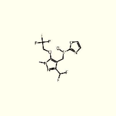 Cn1nc(C(F)F)c(C[S+]([O-])c2ncco2)c1OCC(F)(F)F